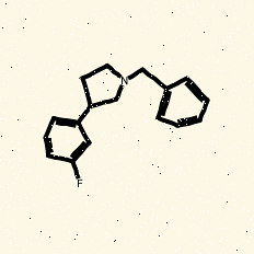 Fc1cccc(C2[CH]CN(Cc3ccccc3)C2)c1